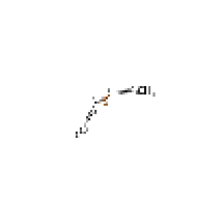 CC#CCSCC#CC